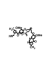 C=C1C[C@@H](C=N)N(C(=O)c2ccc(OCCP(=O)(CCOc3cc4c(cc3OC)C(=O)N3CC(=C)C[C@H]3C=N4)CCS(C)=S)c(OC)c2)C1